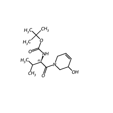 CC(C)[C@@H](NC(=O)OC(C)(C)C)C(=O)N1CC=CC(O)C1